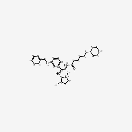 O=C(CCCCCC1CCOCC1)N[C@H](CN1CC[C@@H](F)C1)C(O)c1cccc(OCc2ccccc2)c1